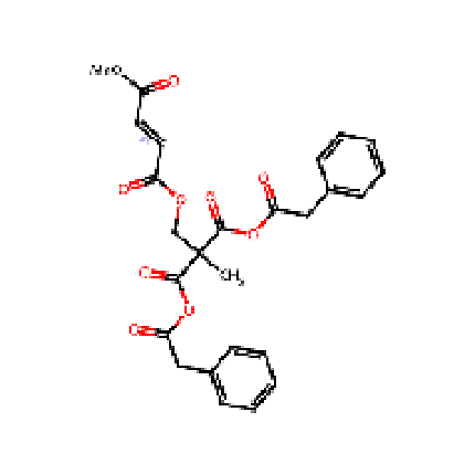 COC(=O)/C=C/C(=O)OCC(C)(C(=O)OC(=O)Cc1ccccc1)C(=O)OC(=O)Cc1ccccc1